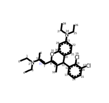 CCN(CC)/C(C)=C/C1=C(C)C(c2cccc(Cl)c2Cl)c2ccc(N(CC)CC)cc2O1